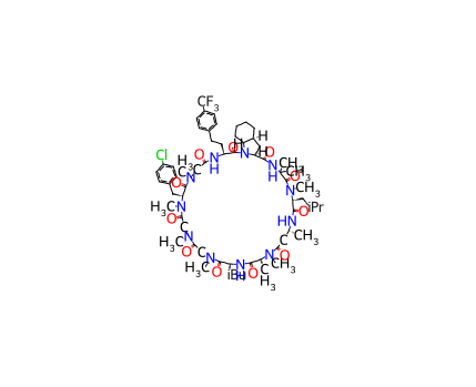 CCC(C)[C@@H]1NC(=O)[C@H](C)N(C)C(=O)C[C@@H](C)NC(=O)[C@H](CC(C)C)N(C)C(=O)C(C)(C)NC(=O)[C@@H]2C[C@@H]3CCCC[C@@H]3N2C(=O)[C@H](CCc2ccc(C(F)(F)F)cc2)NC(=O)CN(C)C(=O)[C@H](Cc2ccc(Cl)cc2)N(C)C(=O)CN(C)C(=O)CN(C)C1=O